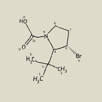 CC(C)(C)C1[C@@H](Br)CCN1C(=O)O